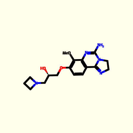 COc1c(OC[C@@H](O)CN2CCC2)ccc2c1N=C(N)N1CCN=C21